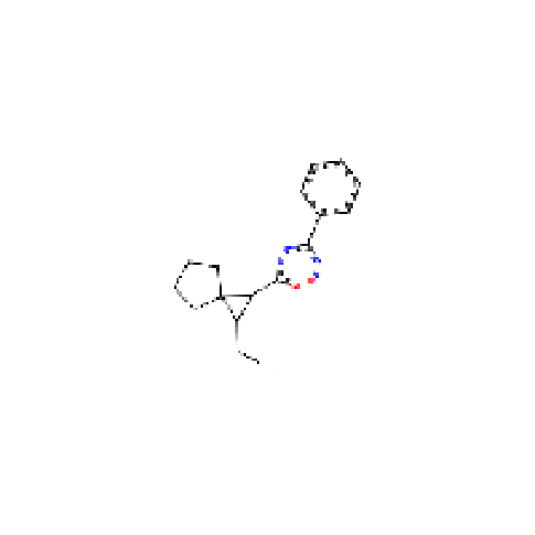 CCC1C(c2nc(-c3ccccc3)no2)C12CCCC2